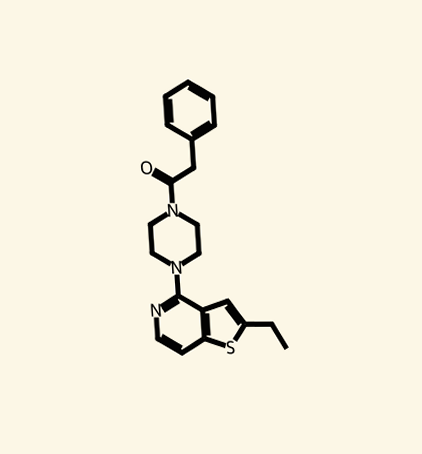 CCc1cc2c(N3CCN(C(=O)Cc4ccccc4)CC3)nccc2s1